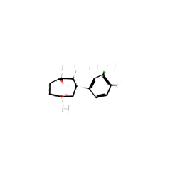 O=C(O)[C@H]1[C@@H](c2ccc(Cl)c(Cl)c2)C[C@@H]2CC[C@H]1O2